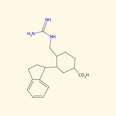 N=C(N)NCC1CCC(C(=O)O)CC1C1CCc2ccccc21